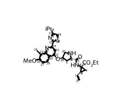 C=C[C@@H]1C[C@]1(NC(=O)[C@@H]1C[C@@H](Oc2cc(-c3nc(C(C)C)cs3)nc3c(C)c(OC)ccc23)CN1)C(=O)OCC